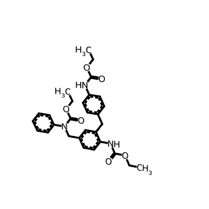 CCOC(=O)Nc1ccc(Cc2cc(CN(C(=O)OCC)c3ccccc3)ccc2NC(=O)OCC)cc1